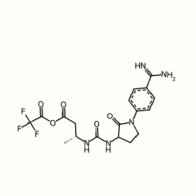 C[C@H](CC(=O)OC(=O)C(F)(F)F)NC(=O)NC1CCN(c2ccc(C(=N)N)cc2)C1=O